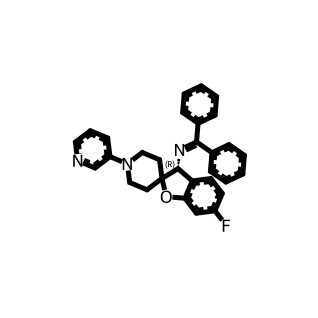 Fc1ccc2c(c1)OC1(CCN(c3cccnc3)CC1)[C@@H]2N=C(c1ccccc1)c1ccccc1